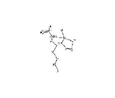 CCCCCCNC(C)=O.CN1CCCC1